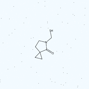 O=C1N(CS)CCC12CC2